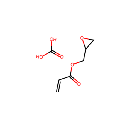 C=CC(=O)OCC1CO1.O=C(O)O